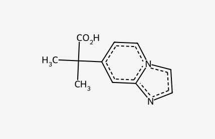 CC(C)(C(=O)O)c1ccn2ccnc2c1